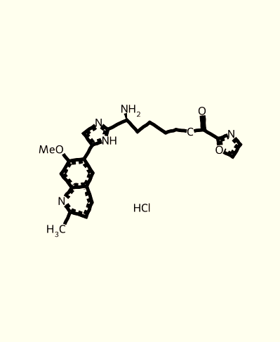 COc1cc2nc(C)ccc2cc1-c1cnc([C@@H](N)CCCCCC(=O)c2ncco2)[nH]1.Cl